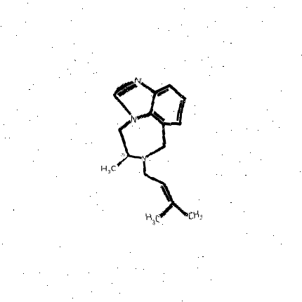 CC(C)=CCN1Cc2cccc3ncn(c23)C[C@@H]1C